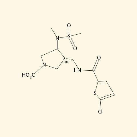 CN(C1CN(C(=O)O)C[C@H]1CNC(=O)c1ccc(Cl)s1)S(C)(=O)=O